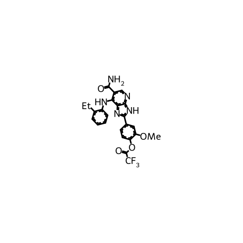 CCc1ccccc1Nc1c(C(N)=O)cnc2[nH]c(-c3ccc(OC(=O)C(F)(F)F)c(OC)c3)nc12